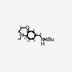 CN1CCOc2cc(CNC(C)(C)C)ccc21